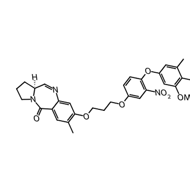 COc1cc(Oc2ccc(OCCCOc3cc4c(cc3C)C(=O)N3CCC[C@H]3C=N4)cc2[N+](=O)[O-])cc(C)c1C